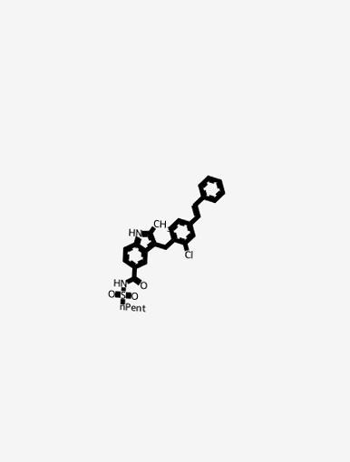 CCCCCS(=O)(=O)NC(=O)c1ccc2[nH]c(C)c(Cc3ccc(/C=C/c4ccccc4)cc3Cl)c2c1